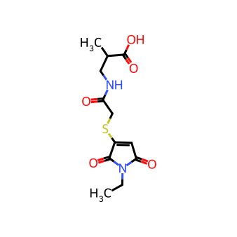 CCN1C(=O)C=C(SCC(=O)NCC(C)C(=O)O)C1=O